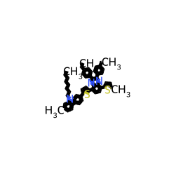 CCCCCCCCn1c2cc(C)ccc2c2ccc(-c3ccc(-c4ccc(-c5ccc(C)s5)c5nc(-c6ccc(CC)cc6)c(-c6ccc(CC)cc6)nc45)s3)cc21